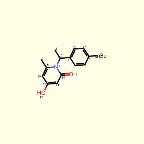 CCCCc1ccc(C(C)n2c(C)cc(O)cc2=O)cc1